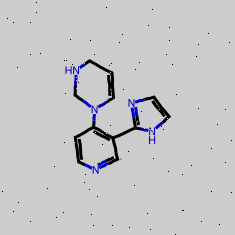 [c]1nccc(N2C=CCNC2)c1-c1ncc[nH]1